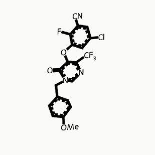 COc1ccc(Cn2cnc(C(F)(F)F)c(Oc3cc(Cl)cc(C#N)c3F)c2=O)cc1